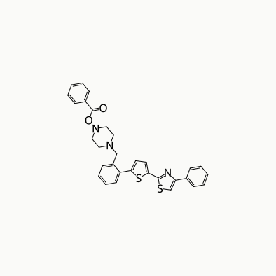 O=C(ON1CCN(Cc2ccccc2-c2ccc(-c3nc(-c4ccccc4)cs3)s2)CC1)c1ccccc1